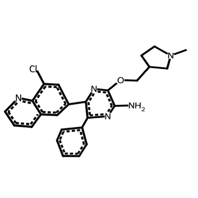 CN1CCC(COc2nc(-c3cc(Cl)c4ncccc4c3)c(-c3ccccc3)nc2N)C1